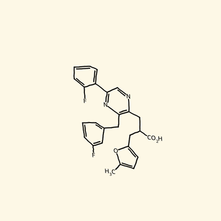 Cc1ccc(CC(Cc2ncc(-c3ccccc3F)nc2Cc2cccc(F)c2)C(=O)O)o1